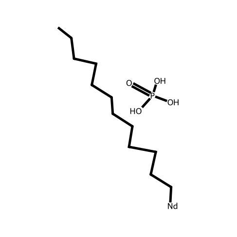 CCCCCCCCCCC[CH2][Nd].O=P(O)(O)O